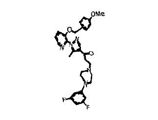 COc1ccc(COc2cccnc2-n2ncc(C(=O)CCN3CCN(c4cc(F)cc(F)c4)CC3)c2C)cc1